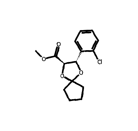 COC(=O)[C@@H]1OC2(CCCC2)O[C@H]1c1ccccc1Cl